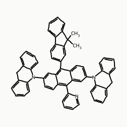 CC1(C)c2ccccc2-c2ccc(-c3c4cc(N5c6ccccc6Cc6ccccc65)ccc4c(-c4ccccn4)c4cc(N5c6ccccc6Cc6ccccc65)ccc34)cc21